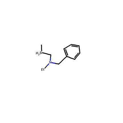 CCN(C[SiH2]C)Cc1ccccc1